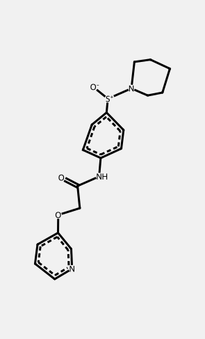 O=C(COc1cccnc1)Nc1ccc([S+]([O-])N2CCCCC2)cc1